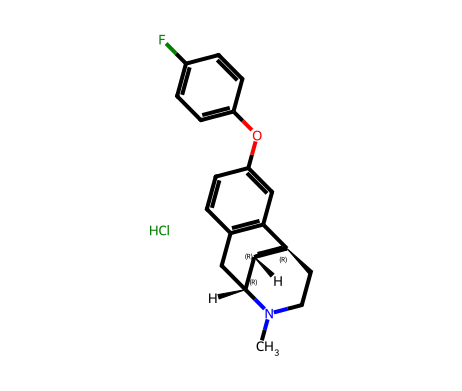 CN1CC[C@]23CCCC[C@H]2[C@H]1Cc1ccc(Oc2ccc(F)cc2)cc13.Cl